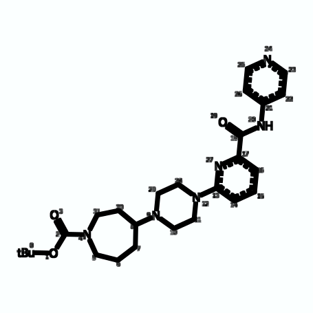 CC(C)(C)OC(=O)N1CCCC(N2CCN(c3cccc(C(=O)Nc4ccncc4)n3)CC2)CC1